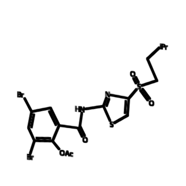 CC(=O)Oc1c(Br)cc(Br)cc1C(=O)Nc1nc(S(=O)(=O)CCC(C)C)cs1